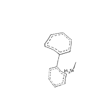 C[SiH3].c1ccc(-c2ccccc2)cc1